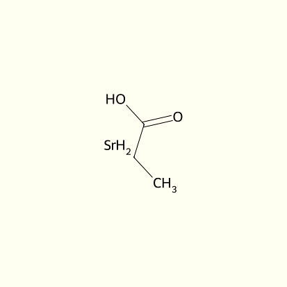 CCC(=O)O.[SrH2]